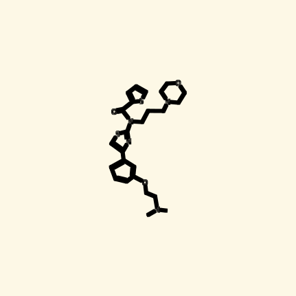 CN(C)CCOc1cccc(-c2csc(N(CCCN3CCOCC3)C(=O)c3cccs3)n2)c1